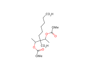 COC(=O)OC(C)C(CCCCCC(=O)O)(C(=O)O)C(C)OC(=O)OC